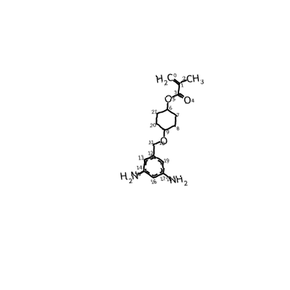 C=C(C)C(=O)OC1CCC(OCc2cc(N)cc(N)c2)CC1